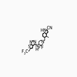 Cc1c(CN2CCC(Nc3ncnc4sc(CC(F)(F)F)cc34)C(F)(F)C2)ccc2[nH]c(C#N)cc12